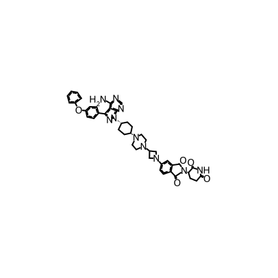 Nc1ncnc2c1c(-c1ccc(Oc3ccccc3)cc1)nn2[C@H]1CC[C@@H](N2CCN(C3CN(c4ccc5c(c4)C(=O)N([C@H]4CCC(=O)NC4=O)C5=O)C3)CC2)CC1